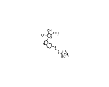 Cc1c(-c2cnc3ccc(OCCO[Si](C)(C)C(C)(C)C)cn23)sc(C(=O)O)c1O